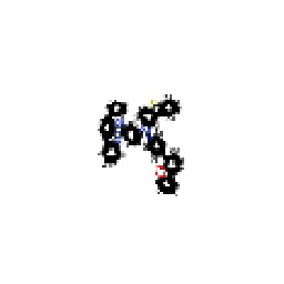 c1ccc2c(c1)oc1c(-c3ccc(N(c4ccc5sc6ccccc6c5c4)c4ccc5c(c4)n4c6ccccc6c6ccc7c8ccccc8n5c7c64)cc3)cccc12